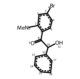 CNc1cc(Br)ccc1C(=O)C(O)c1ccccc1